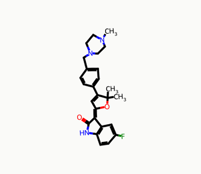 CN1CCN(Cc2ccc(C3=C/C(=C4\C(=O)Nc5ccc(F)cc54)OC3(C)C)cc2)CC1